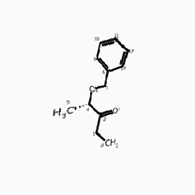 CCC(=O)[C@H](C)OCc1ccccc1